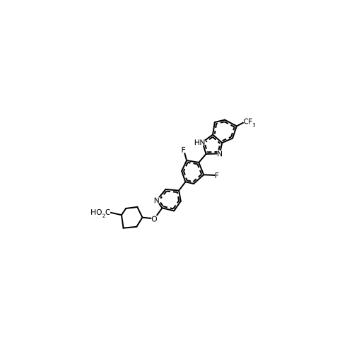 O=C(O)C1CCC(Oc2ccc(-c3cc(F)c(-c4nc5cc(C(F)(F)F)ccc5[nH]4)c(F)c3)cn2)CC1